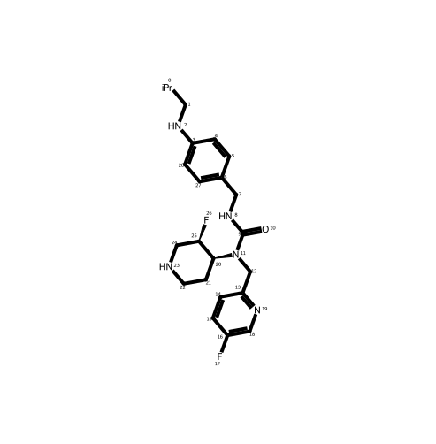 CC(C)CNc1ccc(CNC(=O)N(Cc2ccc(F)cn2)[C@H]2CCNC[C@H]2F)cc1